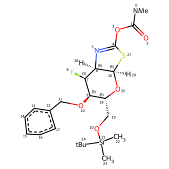 CNC(=O)OC1=N[C@@H]2[C@H](F)[C@H](OCc3ccccc3)[C@@H](CO[Si](C)(C)C(C)(C)C)O[C@@H]2S1